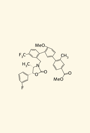 COC(=O)c1ccc(-c2ccc(OC)c(-c3ccc(C(F)(F)F)cc3CN3C(=O)O[C@H](c4cccc(F)c4)[C@@H]3C)c2)c(C)c1